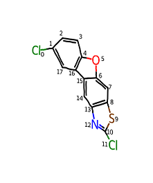 Clc1ccc2oc3cc4sc(Cl)nc4cc3c2c1